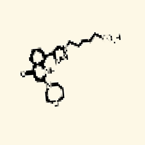 O=C(O)CCCCCn1cc(-c2cccc3c(=O)cc(N4CCCOCC4)[nH]c23)nn1